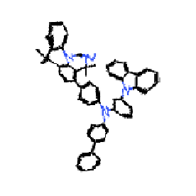 CC1(C)N=CN2c3ccccc3C(C)(C)c3ccc(-c4ccc(N(c5ccc(-c6ccccc6)cc5)c5cccc(-n6c7ccccc7c7ccccc76)c5)cc4)c1c32